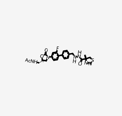 CC(=O)NC[C@H]1CN(c2ccc(-c3ccc(CNNC(=O)C4(C)CSN=N4)cc3)c(F)c2)C(=O)O1